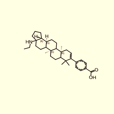 CCNC12CCC[C@@H]1[C@H]1CCC3[C@@](C)(CCC4C(C)(C)C(c5ccc(C(=O)O)cc5)=CC[C@@]43C)C1CC2